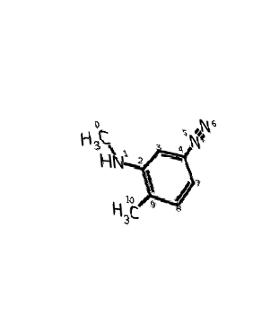 CNc1cc([N+]#N)ccc1C